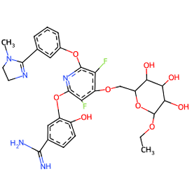 CCOC1OC(COc2c(F)c(Oc3cccc(C4=NCCN4C)c3)nc(Oc3cc(C(=N)N)ccc3O)c2F)C(O)C(O)C1O